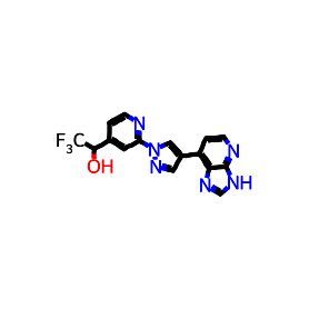 OC(c1ccnc(-n2cc(-c3ccnc4[nH]cnc34)cn2)c1)C(F)(F)F